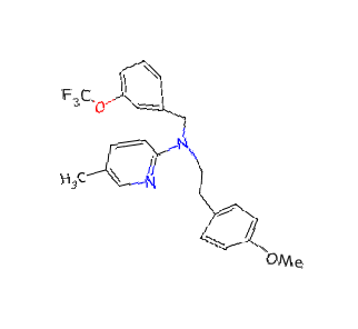 COc1ccc(CCN(Cc2cccc(OC(F)(F)F)c2)c2ccc(C)cn2)cc1